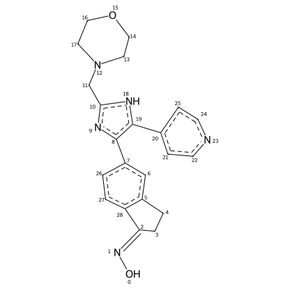 O/N=C1\CCc2cc(-c3nc(CN4CCOCC4)[nH]c3-c3ccncc3)ccc21